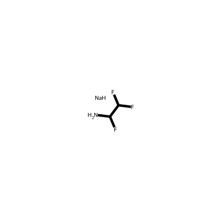 NC(F)C(F)F.[NaH]